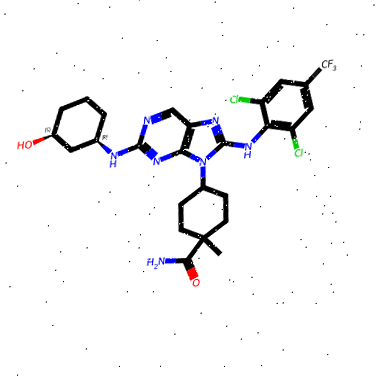 CC1(C(N)=O)CCC(n2c(Nc3c(Cl)cc(C(F)(F)F)cc3Cl)nc3cnc(N[C@@H]4CCC[C@H](O)C4)nc32)CC1